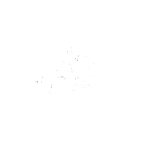 CC(=O)c1ccc2c(c1)C(C)(C)CCCN2C